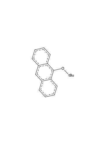 CC(C)(C)Oc1c2ccccc2cc2ccccc12